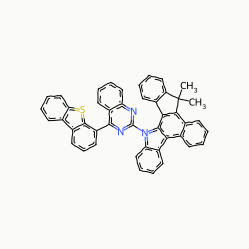 CC1(C)c2ccccc2-c2c1c1ccccc1c1c3ccccc3n(-c3nc(-c4cccc5c4sc4ccccc45)c4ccccc4n3)c21